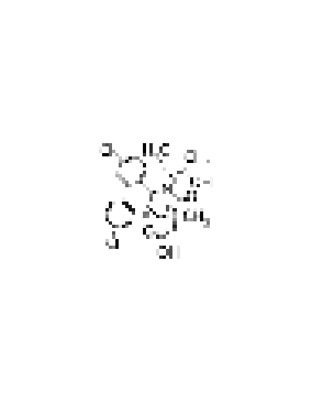 CC[C@H](C(C)O)N1C(=O)[C@@](C)(CC(=O)O)C[C@H](c2cccc(Cl)c2)C1c1ccc(Cl)cc1